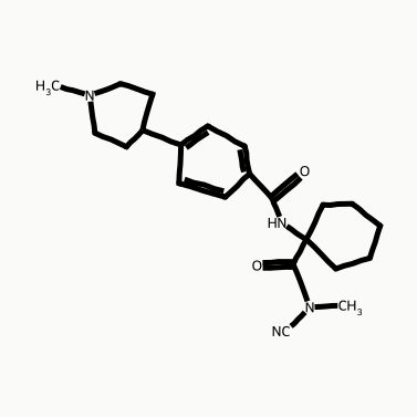 CN1CCC(c2ccc(C(=O)NC3(C(=O)N(C)C#N)CCCCC3)cc2)CC1